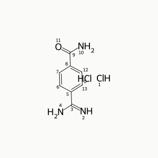 Cl.Cl.N=C(N)c1ccc(C(N)=O)cc1